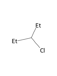 [CH2]CC(Cl)C[CH2]